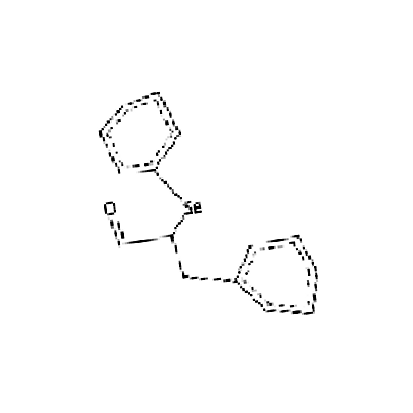 O=CC(Cc1ccccc1)[Se]c1ccccc1